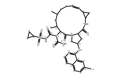 CC1CCC=CC2CC2NC(=O)C2CC(Oc3nccc4ccc(F)cc34)CN2C(=O)C(N(C(=O)O)C(=O)NS(=O)(=O)C2CC2)C(C)C1